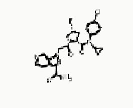 NC(=O)c1nn(CC(=O)N2C[C@H](F)C[C@H]2C(=O)N(c2ccc(Cl)cc2)C2CC2)c2cnccc12